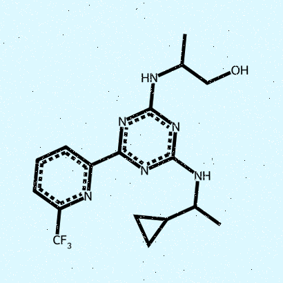 CC(CO)Nc1nc(NC(C)C2CC2)nc(-c2cccc(C(F)(F)F)n2)n1